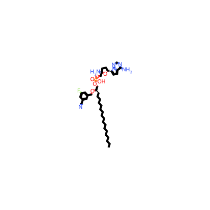 CCCCCCCCCCCCCCCCCC[C@H](COP(=O)(O)OC[C@]1(N)CC[C@H](c2ccc3c(N)ncnn23)O1)OCc1cc(F)cc(C#N)c1